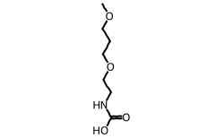 COCCCOCCNC(=O)O